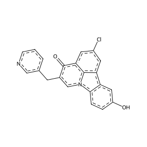 O=c1c(Cc2cccnc2)cn2c3ccc(O)cc3c3cc(Cl)cc1c32